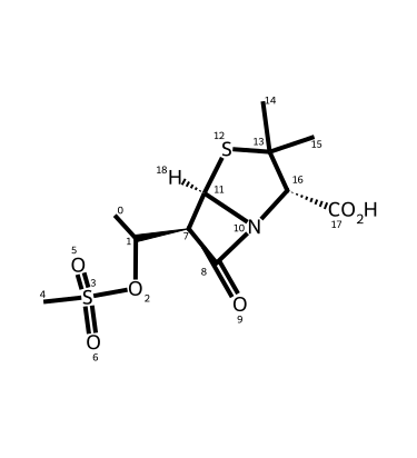 CC(OS(C)(=O)=O)[C@@H]1C(=O)N2[C@@H]1SC(C)(C)[C@@H]2C(=O)O